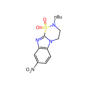 CCCCN1CCn2c(nc3cc([N+](=O)[O-])ccc32)S1(=O)=O